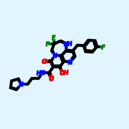 O=C(NCCCN1CCCC1)c1c(O)c2ncc(Cc3ccc(F)cc3)c3c2n(c1=O)CC(F)(F)CN3